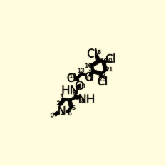 C=N/C=C\C(=C/C)C(=N)NOC(=O)COc1cc(Cl)c(Cl)cc1Cl